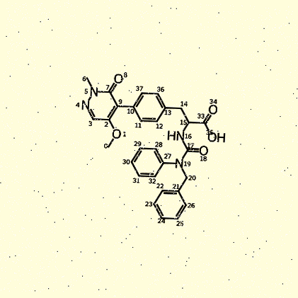 COc1cnn(C)c(=O)c1-c1ccc(CC(NC(=O)N(Cc2ccccc2)c2ccccc2)C(=O)O)cc1